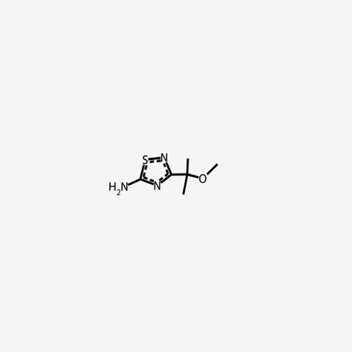 COC(C)(C)c1nsc(N)n1